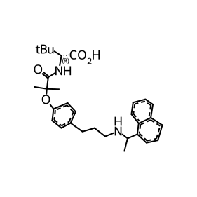 CC(NCCCc1ccc(OC(C)(C)C(=O)N[C@@H](C(=O)O)C(C)(C)C)cc1)c1cccc2ccccc12